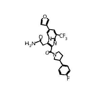 NC(=O)Cc1c(C(=O)N2CCC(c3ccc(F)cc3)C2)nc2c(C(F)(F)F)cc(-c3ccoc3)cn12